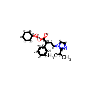 CC(C)c1nccn1CCC(C(=O)OOC1CCCCC1)c1ccccc1